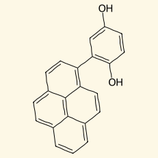 Oc1ccc(O)c(-c2ccc3ccc4cccc5ccc2c3c45)c1